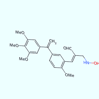 C=C(c1ccc(OC)c(/C=C(\C=O)CNO)c1)c1cc(OC)c(OC)c(OC)c1